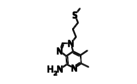 CSCCCn1cnc2c(N)nc(C)c(C)c21